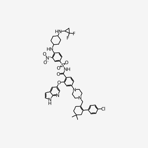 CC1(C)CCC(CN2CCN(c3ccc(C(=O)NS(=O)(=O)c4ccc(NC5CCC(NC6CC6(F)F)CC5)c([N+](=O)[O-])c4)c(Oc4cnc5[nH]ccc5c4)c3)CC2)=C(c2ccc(Cl)cc2)C1